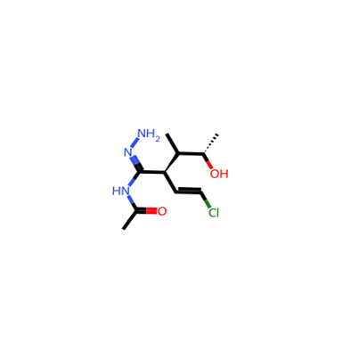 CC(=O)N/C(=N/N)[C@H](/C=C/Cl)C(C)[C@H](C)O